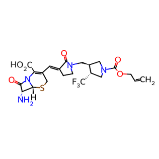 C=CCOC(=O)N1C[C@H](CN2CC/C(=C\C3=C(C(=O)O)N4C(=O)[C@@H](N)[C@H]4SC3)C2=O)[C@@H](C(F)(F)F)C1